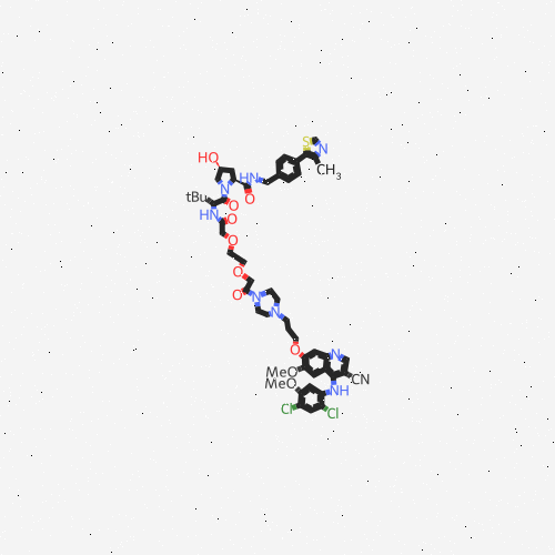 COc1cc(Nc2c(C#N)cnc3cc(OCCCN4CCN(C(=O)COCCOCC(=O)NC(C(=O)N5C[C@H](O)C[C@H]5C(=O)NCc5ccc(-c6scnc6C)cc5)C(C)(C)C)CC4)c(OC)cc23)c(Cl)cc1Cl